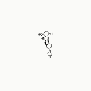 CN1CCN(c2ccc3[nH]c(Nc4cc(Cl)ccc4O)nc3c2)CC1